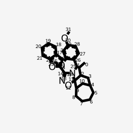 CCC1CC2CCCCC(C2)C12ON=C(c1cc3ccccc3o1)N2Cc1ccc(OC)cc1OC